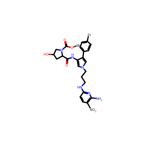 CCc1ccc(-c2cn(CCCNc3ccc([N+](=O)[O-])c(N)n3)cc2NC(=O)C2CC(O)CN2C(=O)OC(C)(C)C)cc1